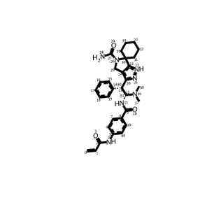 C=CC(=O)Nc1ccc(C(=O)N[C@H]([C@H](c2ccccc2)c2n[nH]c3c2CN(C(N)=O)C32CCCCC2)N(C)C)cc1